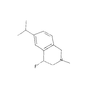 CC(C)c1ccc2c(c1)C(F)CN(C)C2